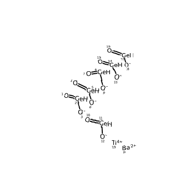 [Ba+2].[O]=[GeH][O-].[O]=[GeH][O-].[O]=[GeH][O-].[O]=[GeH][O-].[O]=[GeH][O-].[O]=[GeH][O-].[Ti+4]